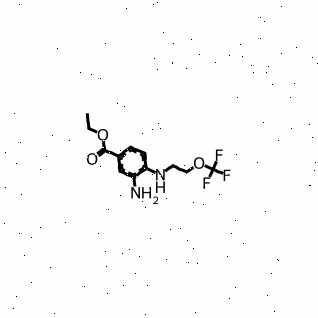 CCOC(=O)c1ccc(NCCOC(F)(F)F)c(N)c1